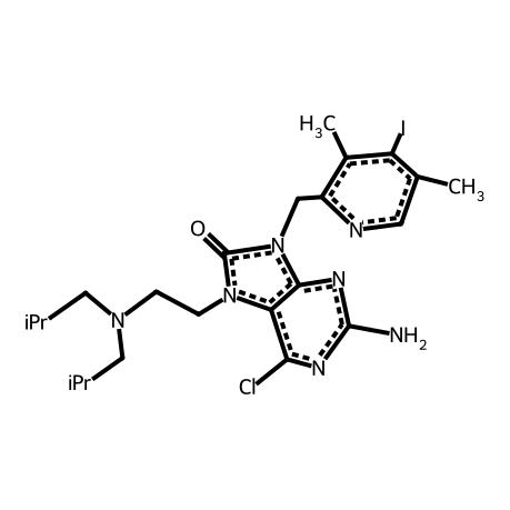 Cc1cnc(Cn2c(=O)n(CCN(CC(C)C)CC(C)C)c3c(Cl)nc(N)nc32)c(C)c1I